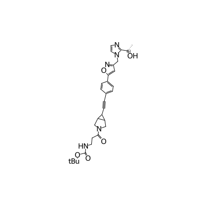 C[C@H](O)c1nccn1Cc1cc(-c2ccc(C#CC3C4CN(C(=O)CCNC(=O)OC(C)(C)C)CC34)cc2)on1